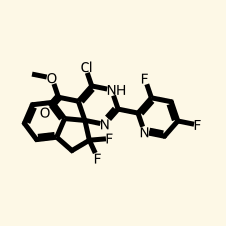 COC(=O)C1=C(Cl)NC(c2ncc(F)cc2F)=NC12c1ccccc1CC2(F)F